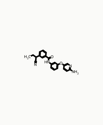 CCC(C#N)c1cccc(C(=O)Nc2cccc(Oc3ccc(N)nc3)c2)c1